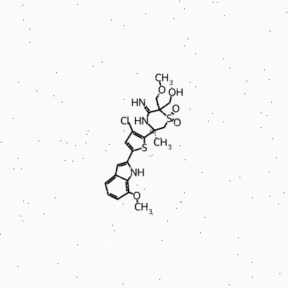 COCC1(CO)C(=N)N[C@](C)(c2sc(-c3cc4cccc(OC)c4[nH]3)cc2Cl)CS1(=O)=O